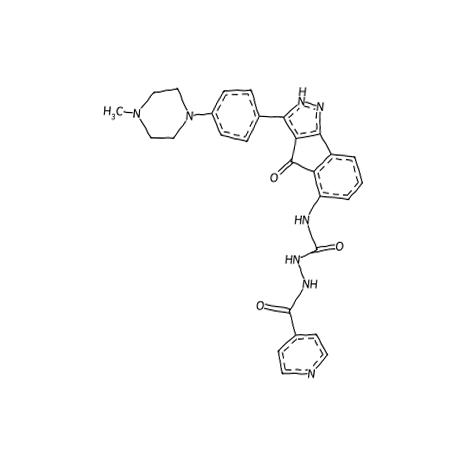 CN1CCN(c2ccc(-c3[nH]nc4c3C(=O)c3c(NC(=O)NNC(=O)c5ccncc5)cccc3-4)cc2)CC1